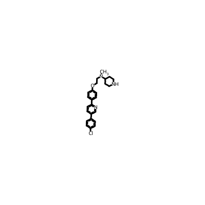 CN(CCOc1ccc(-c2ccc(-c3ccc(Cl)cc3)cn2)cc1)C1CCNCC1